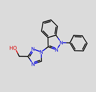 OCc1ncn(-c2nn(-c3ccccc3)c3ccccc23)n1